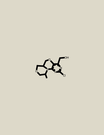 CC1COCC2COc3c(CO)nc(Cl)nc3N12